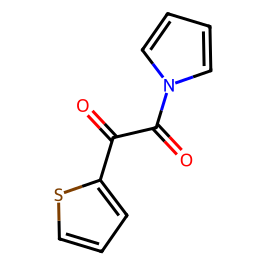 O=C(C(=O)n1cccc1)c1cccs1